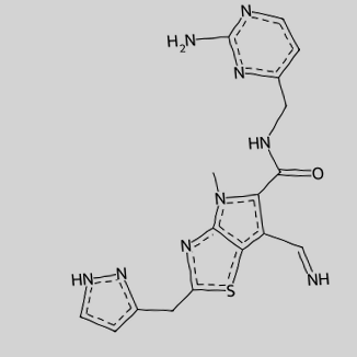 Cn1c(C(=O)NCc2ccnc(N)n2)c(C=N)c2sc(Cc3cc[nH]n3)nc21